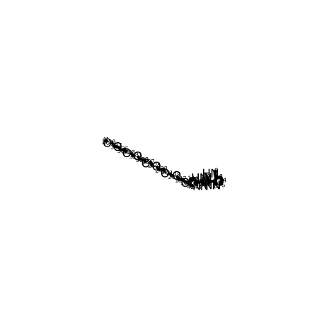 CNc1cccnc1C1=NNC(c2ccc(OCCOCCOCCOCCOCCOCCOCCOCCOC)cn2)=NN1